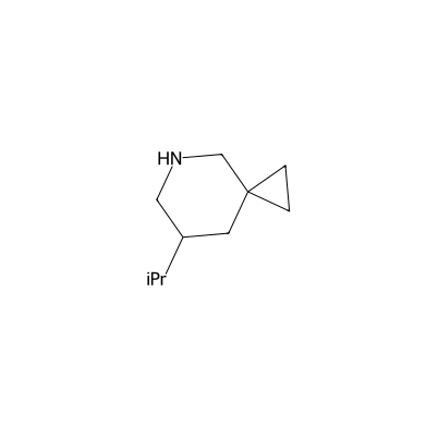 CC(C)C1CNCC2(CC2)C1